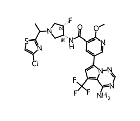 COc1ncc(-c2cc(C(F)(F)F)c3c(N)ncnn23)cc1C(=O)N[C@@H]1CN(C(C)c2nc(Cl)cs2)C[C@@H]1F